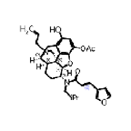 C=CCN1CC[C@]23c4c5c(O)cc(OC(C)=O)c4O[C@H]2[C@H](N(CC(C)C)C(=O)/C=C/c2ccoc2)CC[C@H]3[C@H]1C5